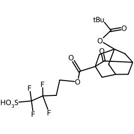 CC(C)(C)C(=O)OC12CC3CC(C1)C(=O)C(C(=O)OCCC(F)(F)C(F)(F)S(=O)(=O)O)(C3)C2